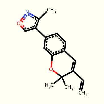 C=CC1=Cc2ccc(-c3conc3C)cc2OC1(C)C